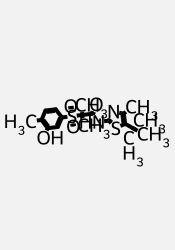 Cc1ccc(S(=O)(=O)C(C)(C)C(=O)Nc2nc(C)c(C(C)(C)C)s2)cc1O